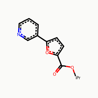 CC(C)OC(=O)c1ccc(-c2cccnc2)o1